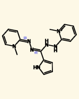 Cn1cccc/c1=N/N=C(\NNc1cccc[n+]1C)c1ccc[nH]1